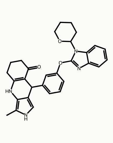 Cc1[nH]cc2c1NC1=C(C(=O)CCC1)C2c1cccc(Oc2nc3ccccc3n2C2CCCCO2)c1